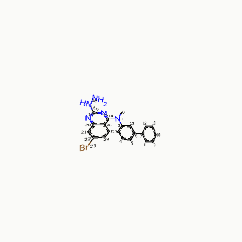 CN(c1cccc(-c2ccccc2)c1)c1nc(NN)nc2cc(Br)ccc12